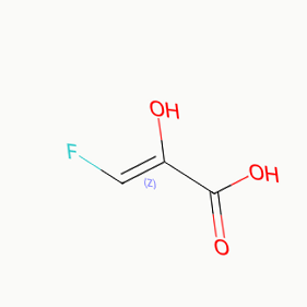 O=C(O)/C(O)=C/F